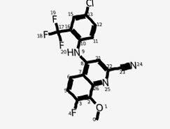 COc1c(F)ccc2c(Nc3ccc(Cl)cc3C(F)(F)F)cc(C#N)nc12